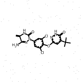 C=C1NC(=O)N(c2cc(Cl)c(Oc3cc(C(C)(C)C)c(=O)[nH]n3)c(Cl)c2)N=C1N